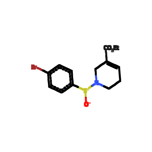 CCOC(=O)C1=CCCN([S+]([O-])c2ccc(Br)cc2)C1